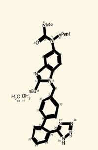 CCCCCN(C(=O)NC)c1ccc2c(c1)nc(CCCC)n2Cc1ccc(-c2ccccc2-c2nnn[nH]2)cc1.O.O